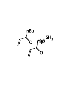 C=CC(=O)CCCC.C=CC(=O)CCCC.S.S